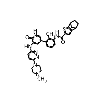 Cc1c(NC(=O)c2cc3c(s2)C2CCC3C2)cccc1-c1c[nH]c(=O)c(Nc2ccc(N3CCN(C)CC3)nn2)c1